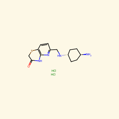 Cl.Cl.N[C@H]1CC[C@H](NCc2ccc3c(n2)NC(=O)CS3)CC1